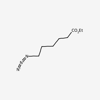 CCOC(=O)CCCCCN=[N+]=[N-]